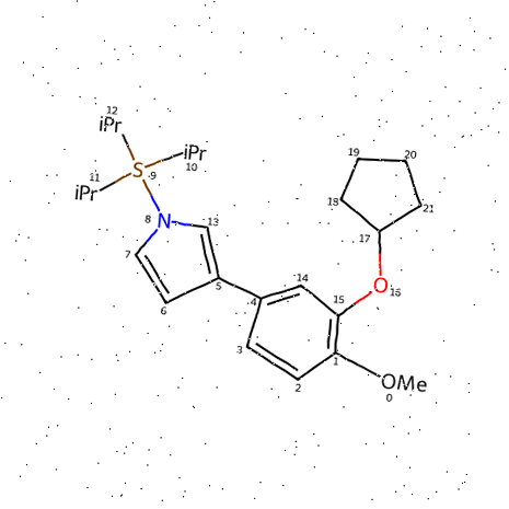 COc1ccc(-c2ccn(S(C(C)C)(C(C)C)C(C)C)c2)cc1OC1CCCC1